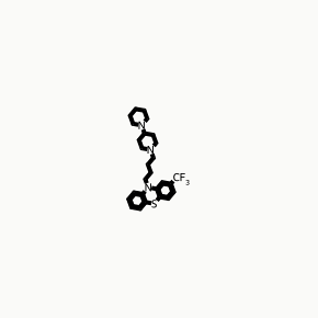 FC(F)(F)c1ccc2c(c1)N(CCCCN1CCC(N3CCCCC3)CC1)c1ccccc1S2